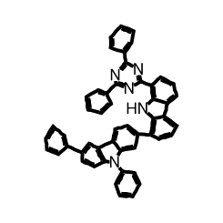 c1ccc(-c2ccc3c(c2)c2ccc(-c4cccc5c4[nH]c4c(-c6nc(-c7ccccc7)nc(-c7ccccc7)n6)cccc45)cc2n3-c2ccccc2)cc1